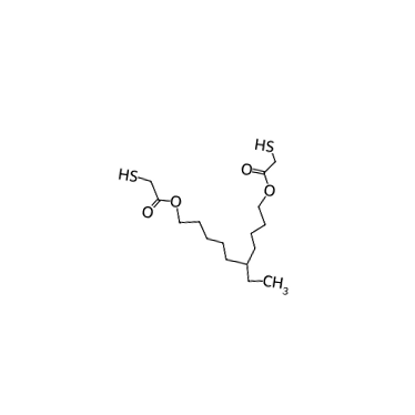 CCC(CCCCCOC(=O)CS)CCCCOC(=O)CS